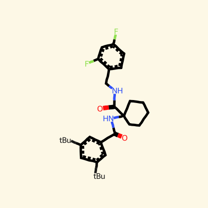 CC(C)(C)c1cc(C(=O)NC2(C(=O)NCc3ccc(F)cc3F)CCCCC2)cc(C(C)(C)C)c1